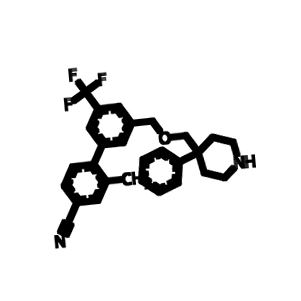 Cc1cc(C#N)ccc1-c1cc(COCC2(c3ccccc3)CCNCC2)cc(C(F)(F)F)c1